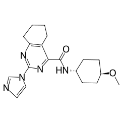 CO[C@H]1CC[C@H](NC(=O)c2nc(-n3ccnc3)nc3c2CCCC3)CC1